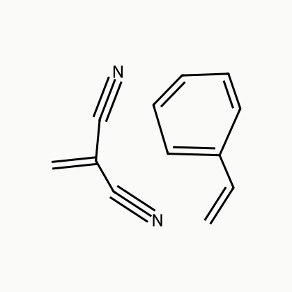 C=C(C#N)C#N.C=Cc1ccccc1